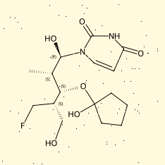 C[C@@H]([C@H](OC1(O)CCCC1)[C@H](CO)CF)[C@@H](O)n1ccc(=O)[nH]c1=O